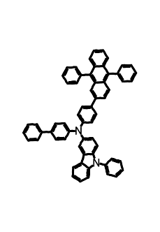 c1ccc(-c2ccc(N(c3ccc(-c4ccc5c(-c6ccccc6)c6ccccc6c(-c6ccccc6)c5c4)cc3)c3ccc4c(c3)c3ccccc3n4-c3ccccc3)cc2)cc1